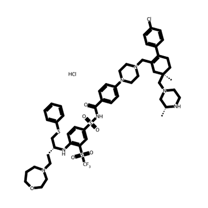 C[C@@H]1CN(C[C@]2(C)CCC(c3ccc(Cl)cc3)=C(CN3CCN(c4ccc(C(=O)NS(=O)(=O)c5ccc(N[C@H](CCN6CCCOCC6)CSc6ccccc6)c(S(=O)(=O)C(F)(F)F)c5)cc4)CC3)C2)CCN1.Cl